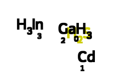 S.[Cd].[GaH3].[InH3]